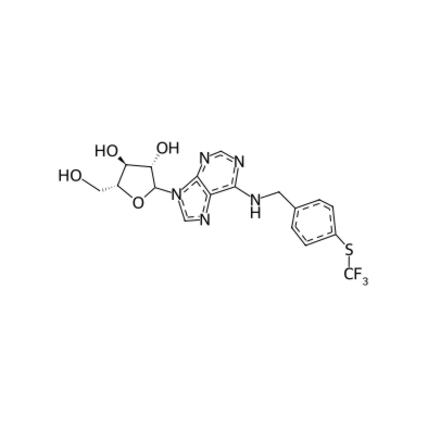 OC[C@H]1OC(n2cnc3c(NCc4ccc(SC(F)(F)F)cc4)ncnc32)[C@@H](O)[C@@H]1O